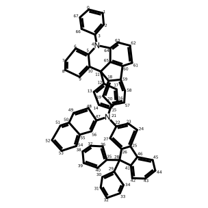 c1ccc(N2c3ccccc3C3(c4ccccc4)c4cc(N(c5ccc6c(c5)C(c5ccccc5)(c5ccccc5)c5ccccc5-6)c5ccc6ccccc6c5)ccc4-c4cccc2c43)cc1